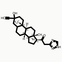 C#CC1(O)CC[C@@]2(C)C(CC[C@H]3[C@@H]4CC[C@H](C(=O)Cc5nc[nH]n5)[C@@]4(C)CC[C@@H]32)C1